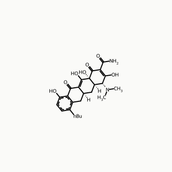 CCCCc1ccc(O)c2c1C[C@@H]1C[C@@H]3[C@@H](N(C)C)C(O)=C(C(N)=O)C(=O)[C@]3(O)C(O)=C1C2=O